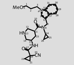 COCCCn1cc(CN(C(=O)[C@@H]2CNC[C@H](NC(=O)C3(C#N)CC3)C2)C2CC2)c2ccccc21